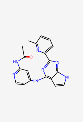 CC(=O)Nc1cc(Nc2nc(-c3cccc(C)n3)nc3[nH]ccc23)ccn1